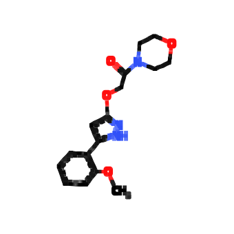 COc1ccccc1-c1cc(OCC(=O)N2CCOCC2)n[nH]1